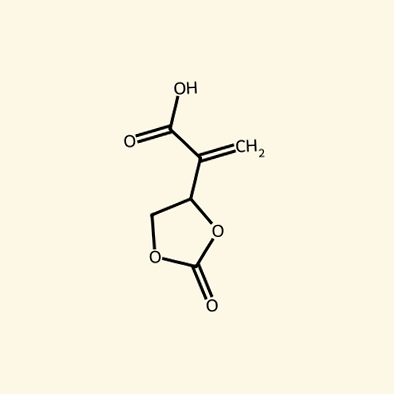 C=C(C(=O)O)C1COC(=O)O1